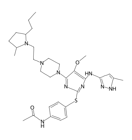 CCCC1CCC(C)N1CCN1CCN(c2nc(Sc3ccc(NC(C)=O)cc3)nc(Nc3cc(C)[nH]n3)c2OC)CC1